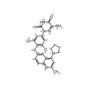 Cc1cc(N2CCCC2)c2cc(Oc3c(Cl)cc(-n4nc(N)c(=O)[nH]c4=O)cc3Cl)ccc2n1